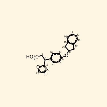 O=C(O)CC(c1ccc(OC2Cc3ccccc3C2)cc1)c1ncco1